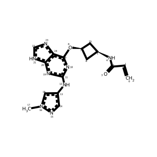 C=CC(=O)N[C@H]1C[C@@H](Oc2nc(Nc3cnn(C)c3)nc3[nH]cnc23)C1